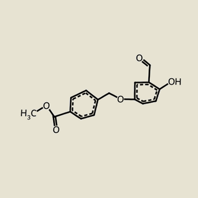 COC(=O)c1ccc(COc2ccc(O)c(C=O)c2)cc1